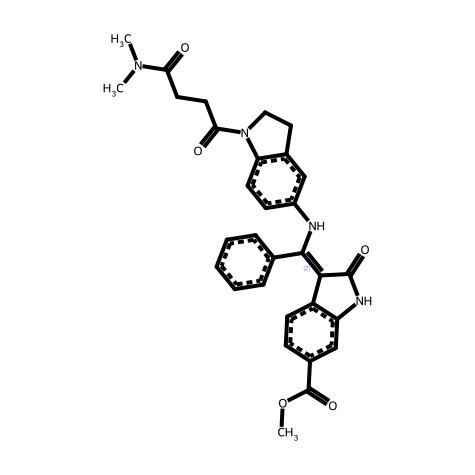 COC(=O)c1ccc2c(c1)NC(=O)/C2=C(\Nc1ccc2c(c1)CCN2C(=O)CCC(=O)N(C)C)c1ccccc1